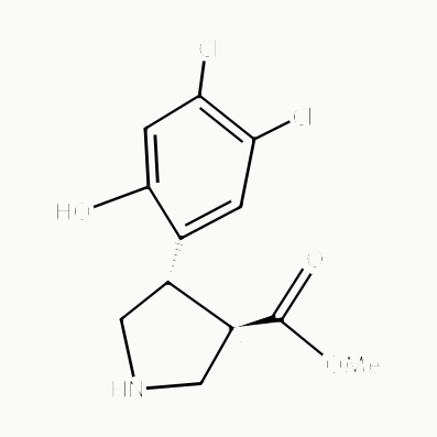 COC(=O)[C@H]1CNC[C@@H]1c1cc(Cl)c(Cl)cc1O